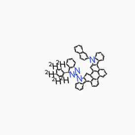 [2H]c1c([2H])c([2H])c(-c2nc(-n3c4ccccc4c4c5cccc6c7cccc8c7c(cc7c8c8ccccc8n7-c7ccc8ccccc8c7)c(cc43)c65)nc3ccccc23)c([2H])c1[2H]